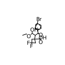 CCOC(O)C(C(=O)c1ccc(Br)cc1)C1(C(=O)O)CC(F)(F)C1